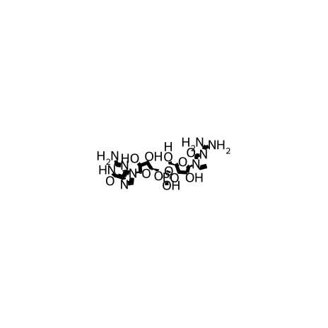 C=CN(C(=O)N=C(N)N)[C@@H]1O[C@H](CO)[C@H](OP(=O)(O)OC[C@H]2O[C@@H](n3cnc4c(=O)[nH]c(N)nc43)C(O)[C@H]2O)C1O